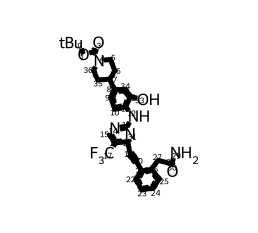 CC(C)(C)OC(=O)N1CCC(c2ccc(Nc3ncc(C(F)(F)F)c(C#Cc4ccccc4CC(N)=O)n3)c(O)c2)CC1